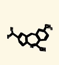 Cc1ccc2c(c1)Cc1cc(C(F)F)ccc1N=C2O